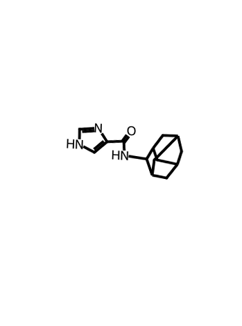 O=C(NC1C2CC3CC(C2)CC1C3)c1c[nH]cn1